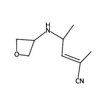 CC(C#N)=CC(C)NC1COC1